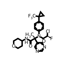 C[C@](C(=O)NC1CCOCC1)(c1cncnc1)N(C(=O)[C@H](F)Cl)c1ccc(C2(C(F)(F)F)CC2)cc1